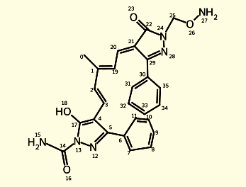 CC(C=Cc1c(-c2ccccc2)nn(C(N)=O)c1O)=CC=C1C(=O)N(CON)N=C1c1ccccc1